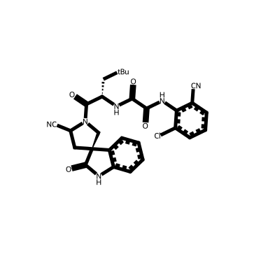 CC(C)(C)C[C@H](NC(=O)C(=O)Nc1c(Cl)cccc1C#N)C(=O)N1C[C@]2(CC1C#N)C(=O)Nc1ccccc12